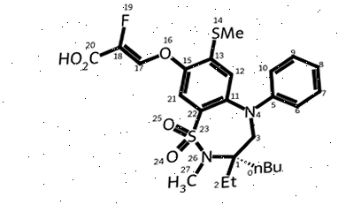 CCCC[C@@]1(CC)CN(c2ccccc2)c2cc(SC)c(O/C=C(\F)C(=O)O)cc2S(=O)(=O)N1C